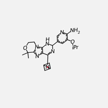 CC(C)Oc1cc(C2N=C(N3CC4CC3C4)c3nc4n(c3N2)CCOC4(C)C)cnc1N